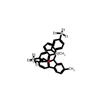 [CH2]=[Hf]([c]1ccc([Si](CC)(CC)CC)cc1)([c]1ccc([Si](CC)(CC)CC)cc1)([CH]1C=CC=C1)[CH]1c2cc(C)ccc2-c2ccc(C)cc21